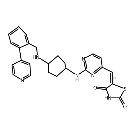 O=C1NC(=O)/C(=C\c2ccnc(NC3CCC(NCc4ccccc4-c4ccncc4)CC3)n2)S1